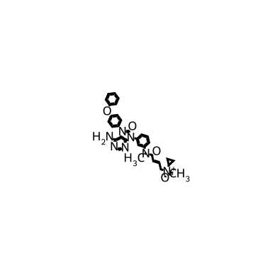 CN(C(=O)/C=C/C[N+](C)([O-])C1CC1)c1cccc(-n2c(=O)n(-c3ccc(Oc4ccccc4)cc3)c3c(N)ncnc32)c1